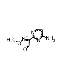 CO/N=C(\[C]=O)c1nccc(N)n1